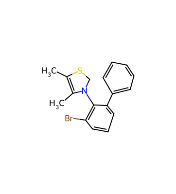 CC1=C(C)N(c2c(Br)cccc2-c2ccccc2)CS1